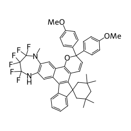 COc1ccc(C2(c3ccc(OC)cc3)C=Cc3c4c(c5cc6c(cc5c3O2)N(C)C(F)(F)C(F)(F)C(F)(F)N6)-c2ccccc2C42CC(C)(C)CC(C)(C)C2)cc1